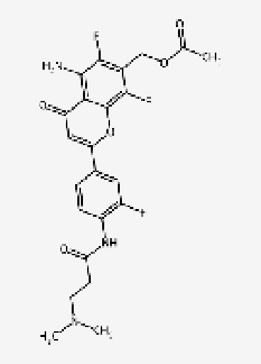 CC(=O)OCc1c(F)c(N)c2c(=O)cc(-c3ccc(NC(=O)CCN(C)C)c(F)c3)oc2c1F